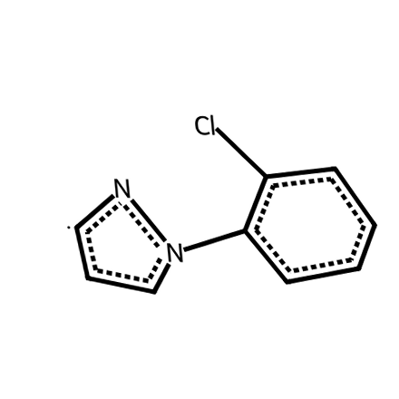 Clc1ccccc1-n1cc[c]n1